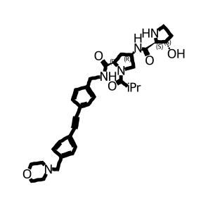 CC(C)C(=O)N1C[C@H](NC(=O)[C@H]2NCC[C@@H]2O)C[C@@H]1C(=O)NCc1ccc(C#Cc2ccc(CN3CCOCC3)cc2)cc1